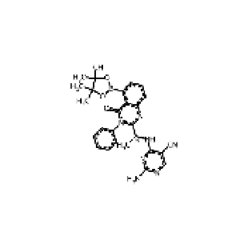 C[C@@H](Nc1nc(N)ncc1C#N)c1nc2cccc(B3OC(C)(C)C(C)(C)O3)c2c(=O)n1-c1ccccc1